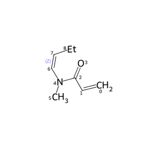 C=CC(=O)N(C)/C=C\CC